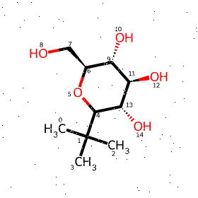 CC(C)(C)C1O[C@@H](CO)[C@H](O)[C@@H](O)[C@@H]1O